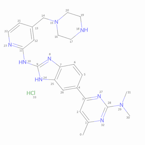 Cc1cc(-c2ccc3nc(Nc4cc(CN5CCNCC5)ccn4)[nH]c3c2)nc(N(C)C)n1.Cl